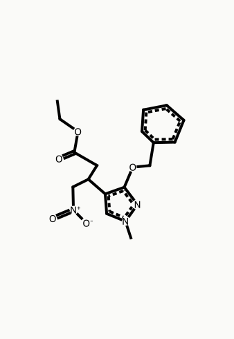 CCOC(=O)CC(C[N+](=O)[O-])c1cn(C)nc1OCc1ccccc1